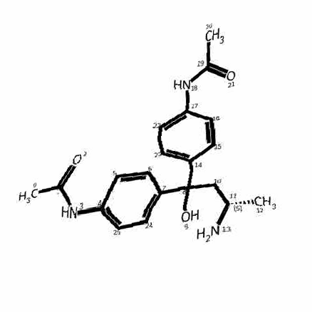 CC(=O)Nc1ccc(C(O)(C[C@H](C)N)c2ccc(NC(C)=O)cc2)cc1